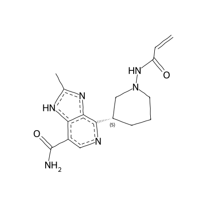 C=CC(=O)NN1CCC[C@H](c2ncc(C(N)=O)c3[nH]c(C)nc23)C1